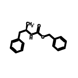 [CH2][C@H](Cc1ccccc1)NC(=O)OCc1ccccc1